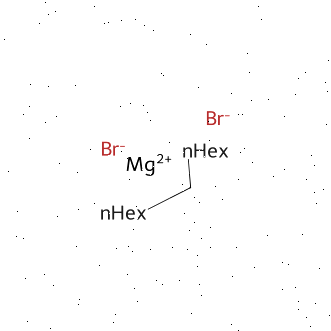 CCCCCCCCCCCCC.[Br-].[Br-].[Mg+2]